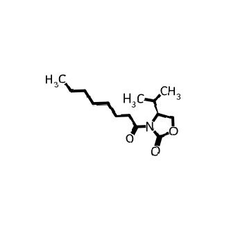 CCCCCCCC(=O)N1C(=O)OC[C@@H]1C(C)C